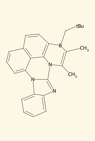 CC1=C(C)n2c3c(ccc4cccc(c43)n3c4ccccc4nc23)B1CC(C)(C)C